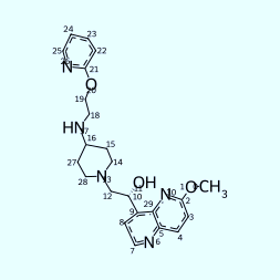 COc1ccc2nccc([C@@H](O)CN3CCC(NCCOc4ccccn4)CC3)c2n1